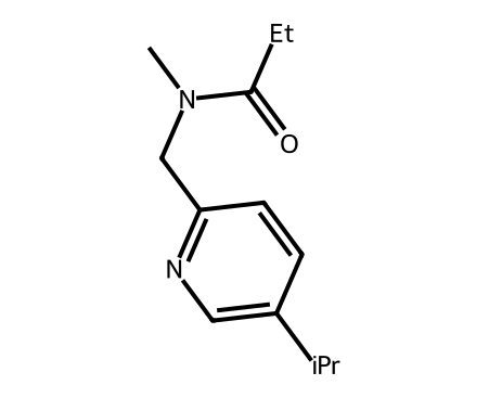 CCC(=O)N(C)Cc1ccc(C(C)C)cn1